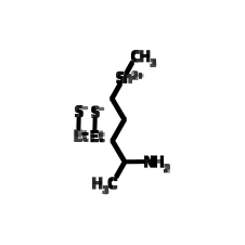 CC[S-].CC[S-].[CH3][Sn+2][CH2]CCC(C)N